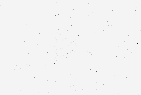 C#CCOc1cc2oc3cc(=O)c(C)cc-3c(-c3ccccc3CO)c2cc1Cl